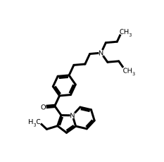 CCCN(CCC)CCCc1ccc(C(=O)c2c(CC)cc3ccccn23)cc1